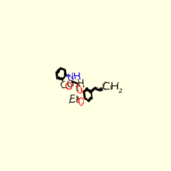 C=CCc1ccc(OCC)c(OCC(=O)Nc2ccccc2C(=O)O)c1